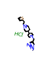 Cl.Cn1cc(CN2C=CC(C3CCN(CCc4cccs4)CC3)=CC2)cn1